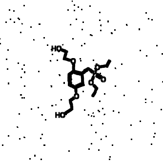 CCOP(=O)(Cc1cc(OCCO)ccc1OCCO)OCC